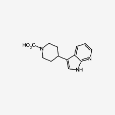 O=C(O)N1CCC(c2c[nH]c3ncccc23)CC1